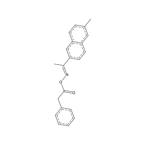 C/C(=N\OC(=O)Cc1ccccc1)c1ccc2cc(C)ccc2c1